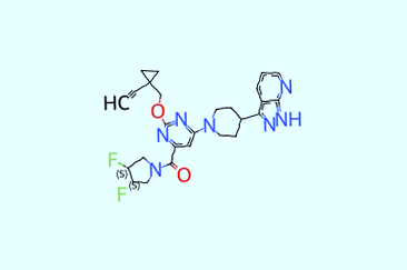 C#CC1(COc2nc(C(=O)N3C[C@H](F)[C@@H](F)C3)cc(N3CCC(c4n[nH]c5ncccc45)CC3)n2)CC1